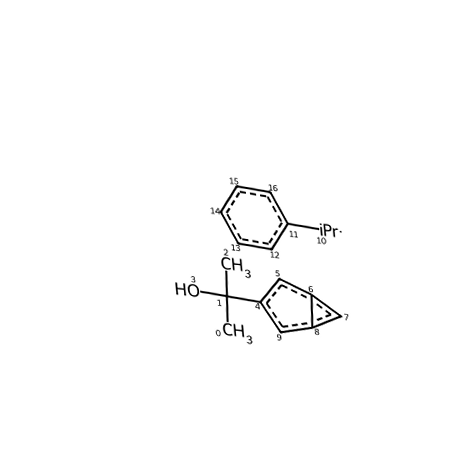 CC(C)(O)c1cc2cc-2c1.C[C](C)c1ccccc1